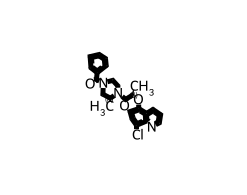 C[C@H](Oc1ccc(Cl)c2ncccc12)C(=O)N1CCN(C(=O)c2ccccc2)C[C@H]1C